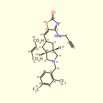 C#CCNC1=NC(=O)SC1=CC1C[C@@H]2CN(Cc3ccc(C(F)(F)F)cc3C(F)(F)F)C[C@@H]2C1.O=C(O)C=CC(=O)O